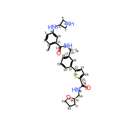 Cc1ccc(NC2CNC2)cc1C(=O)N[C@H](C)c1cccc(-c2ccc(C(=O)NC[C@H]3CCCO3)s2)c1